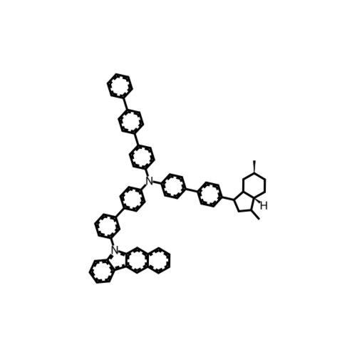 CC1CC(c2ccc(-c3ccc(N(c4ccc(-c5ccc(-c6ccccc6)cc5)cc4)c4ccc(-c5cccc(-n6c7ccccc7c7cc8ccccc8cc76)c5)cc4)cc3)cc2)C2C[C@@H](C)CC[C@H]12